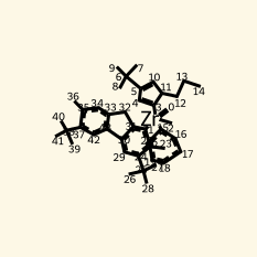 [CH2]=[Zr]([CH3])([C]1=CC(C(C)(C)C)=CC1CCC)([c]1ccccc1)[c]1c(C)c(C(C)(C)C)cc2c1Cc1cc(C)c(C(C)(C)C)cc1-2